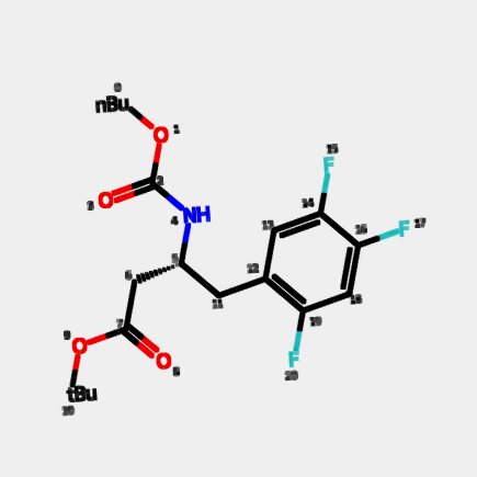 CCCCOC(=O)N[C@@H](CC(=O)OC(C)(C)C)Cc1cc(F)c(F)cc1F